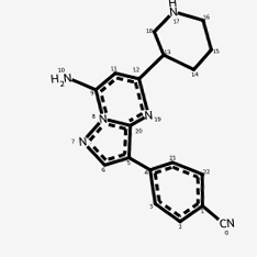 N#Cc1ccc(-c2cnn3c(N)cc(C4CCCNC4)nc23)cc1